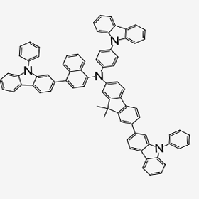 CC1(C)c2cc(-c3ccc4c5ccccc5n(-c5ccccc5)c4c3)ccc2-c2ccc(N(c3ccc(-n4c5ccccc5c5ccccc54)cc3)c3ccc(-c4ccc5c6ccccc6n(-c6ccccc6)c5c4)c4ccccc34)cc21